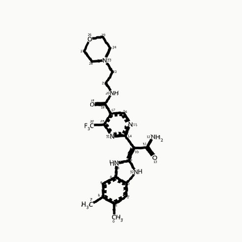 Cc1cc2c(cc1C)NC(=C(C(N)=O)c1ncc(C(=O)NCCN3CCOCC3)c(C(F)(F)F)n1)N2